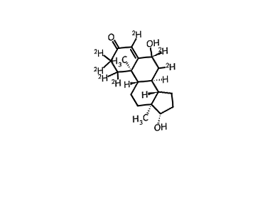 [2H]C1=C2[C@]([2H])(O)C([2H])[C@H]3[C@@H]4CC[C@H](O)[C@@]4(C)CC[C@@H]3[C@@]2(C)C([2H])([2H])C([2H])([2H])C1=O